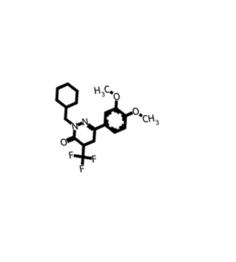 COc1ccc(C2=NN(CC3CCCCC3)C(=O)C(C(F)(F)F)C2)cc1OC